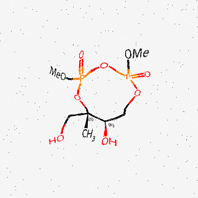 COP1(=O)OC[C@@H](O)[C@](C)(CO)OP(=O)(OC)O1